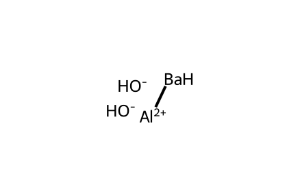 [Al+2][BaH].[OH-].[OH-]